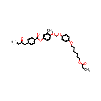 C=CC(=O)Cc1ccc(C(=O)Oc2ccc(OCOc3ccc(OCCCCCCOC(=O)C=C)cc3)c(C)c2)cc1